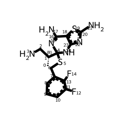 C[C@H](CN)C1(SCc2cccc(F)c2F)N=C(N)c2sc(N)nc2N1